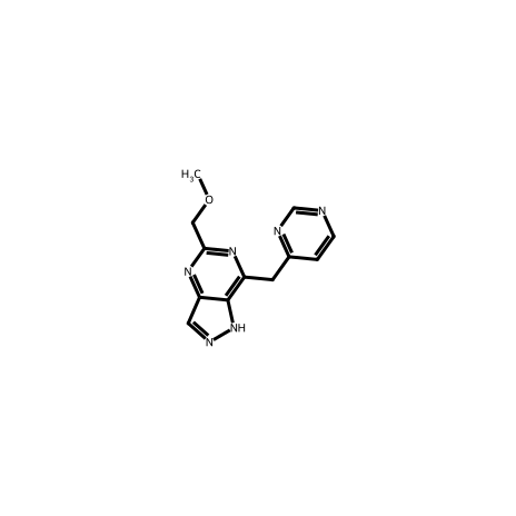 COCc1nc(Cc2ccncn2)c2[nH]ncc2n1